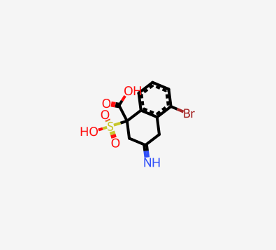 N=C1Cc2c(Br)cccc2C(C(=O)O)(S(=O)(=O)O)C1